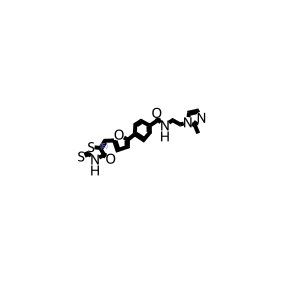 Cc1nccn1CCNC(=O)c1ccc(-c2ccc(/C=C3/SC(=S)NC3=O)o2)cc1